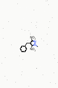 Cn1nc([N+](=O)[O-])c(Cc2ccccc2)c1[N+](=O)[O-]